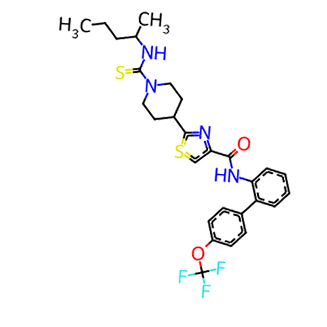 CCCC(C)NC(=S)N1CCC(c2nc(C(=O)Nc3ccccc3-c3ccc(OC(F)(F)F)cc3)cs2)CC1